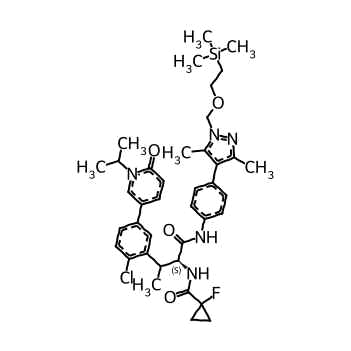 Cc1nn(COCC[Si](C)(C)C)c(C)c1-c1ccc(NC(=O)[C@@H](NC(=O)C2(F)CC2)C(C)c2cc(-c3ccc(=O)n(C(C)C)c3)ccc2Cl)cc1